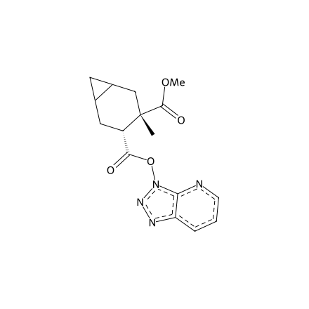 COC(=O)[C@@]1(C)CC2CC2C[C@H]1C(=O)On1nnc2cccnc21